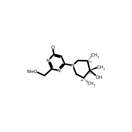 COCc1nc(Cl)cc(N2C[C@@H](C)[C@@](C)(O)[C@@H](C)C2)n1